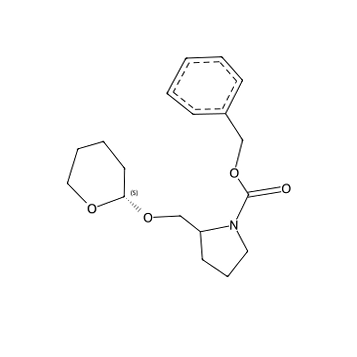 O=C(OCc1ccccc1)N1CCCC1CO[C@H]1CCCCO1